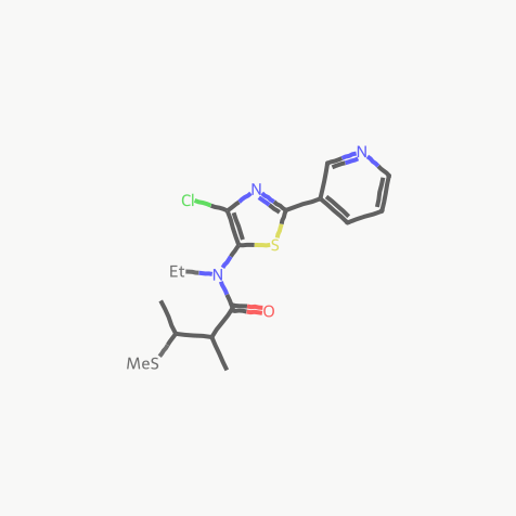 CCN(C(=O)C(C)C(C)SC)c1sc(-c2cccnc2)nc1Cl